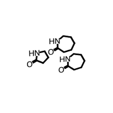 O=C1CCCCCN1.O=C1CCCCCN1.O=C1CCCN1